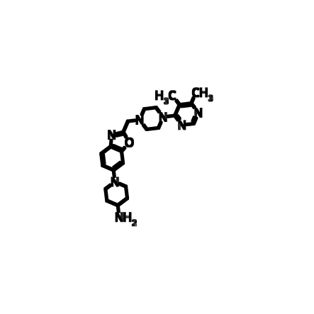 Cc1ncnc(N2CCN(Cc3nc4ccc(N5CCC(N)CC5)cc4o3)CC2)c1C